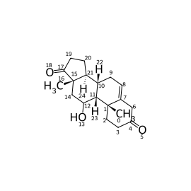 C[C@]12CCC(=O)CC1=CC[C@@H]1[C@H]2C(O)C[C@]2(C)C(=O)CC[C@@H]12